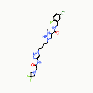 CN1NN(CCCCn2cc(NC(=O)CN3CC(F)(F)C3)nn2)C=C1C(=O)NCc1cc(Cl)ccc1F